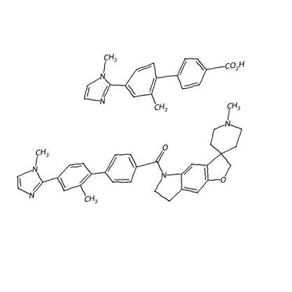 Cc1cc(-c2nccn2C)ccc1-c1ccc(C(=O)N2CCc3cc4c(cc32)C2(CCN(C)CC2)CO4)cc1.Cc1cc(-c2nccn2C)ccc1-c1ccc(C(=O)O)cc1